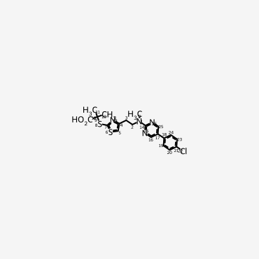 CN(CCc1csc(SC(C)(C)C(=O)O)n1)c1ncc(-c2ccc(Cl)cc2)cn1